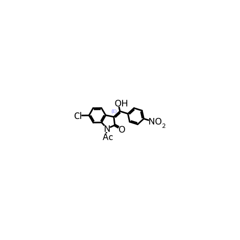 CC(=O)N1C(=O)/C(=C(/O)c2ccc([N+](=O)[O-])cc2)c2ccc(Cl)cc21